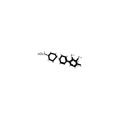 CCCCCCCC[C@H]1CC[C@H](C2C=CC(c3ccc(C)c(F)c3F)=CC2)CC1